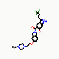 CN1CCN(CCOc2ccc3c(c2)CN(C(=O)c2cc4c(CCC(F)(F)F)n[nH]c4cc2O)C3)CC1